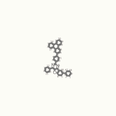 c1ccc(-c2ccc3oc4c(-c5ccccc5)nc(-c5ccc(-c6ccc7c8ccccc8c8ccccc8c7c6)cc5)nc4c3c2)cc1